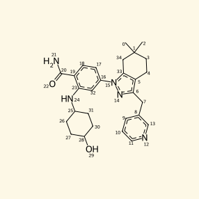 CC1(C)CCc2c(Cc3cccnc3)nn(-c3ccc(C(N)=O)c(NC4CCC(O)CC4)c3)c2C1